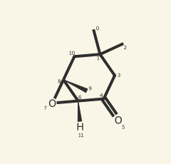 CC1(C)CC(=O)[C@@H]2O[C@]2(C)C1